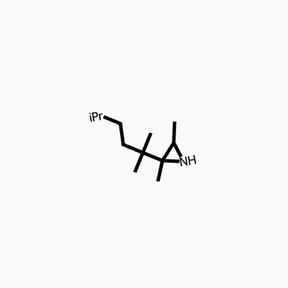 CC(C)CCC(C)(C)C1(C)NC1C